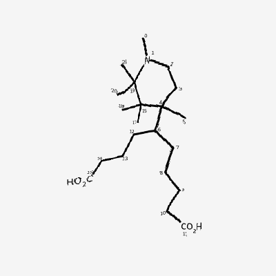 CN1CCC(C)(C(CCCCC(=O)O)CCCC(=O)O)C(C)(C)C1(C)C